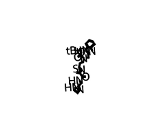 CC(C)(C)OC(=O)N(CCc1nc(C(=O)NCc2ncc[nH]2)cs1)Cc1nc2ccccc2[nH]1